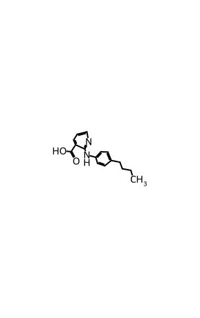 CCCCc1ccc(Nc2ncccc2C(=O)O)cc1